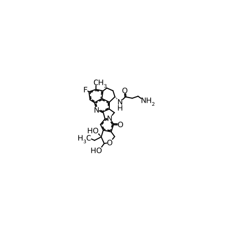 CC[C@]1(O)c2cc3n(c(=O)c2COC1O)Cc1c-3nc2cc(F)c(C)c3c2c1[C@@H](NC(=O)CCN)CC3